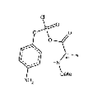 CON[C@@H](C)C(=O)OP(=O)(Cl)Oc1ccc([N+](=O)[O-])cc1